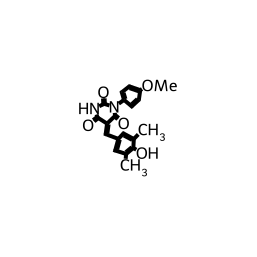 COc1ccc(N2C(=O)NC(=O)C(=Cc3cc(C)c(O)c(C)c3)C2=O)cc1